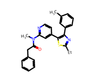 CCc1nc(-c2cccc(C)c2)c(-c2ccnc(N(C)C(=O)Cc3ccccc3)c2)s1